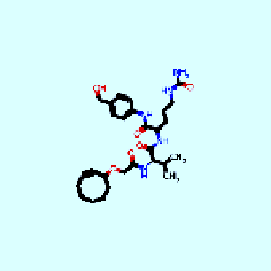 CC(C)[C@H](NC(=O)COC1C#CCCCCC1)C(=O)NC(CCCNC(N)=O)C(=O)Nc1ccc(CO)cc1